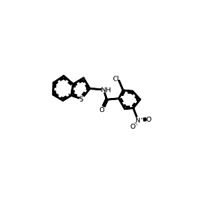 O=C(Nc1cc2ccccc2s1)c1cc([N+](=O)[O-])ccc1Cl